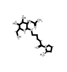 CC(=O)NC1C(OCCCCC(=O)N2CCC[C@H]2C)OC(CO)C(O)C1O